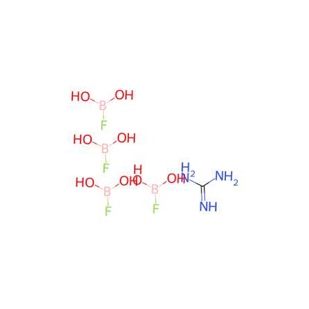 N=C(N)N.OB(O)F.OB(O)F.OB(O)F.OB(O)F